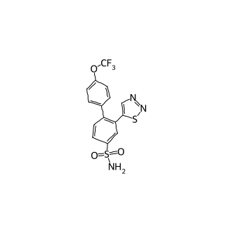 NS(=O)(=O)c1ccc(-c2ccc(OC(F)(F)F)cc2)c(-c2cnns2)c1